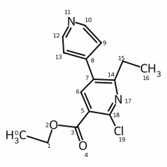 CCOC(=O)c1cc(-c2ccncc2)c(CC)nc1Cl